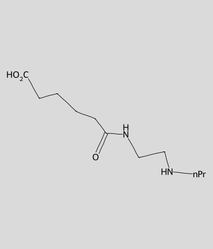 [CH2]CCNCCNC(=O)CCCCC(=O)O